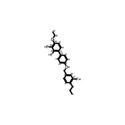 CCCc1ccc(COc2ccc(-c3ccc(OCC)c(F)c3F)cc2)cc1F